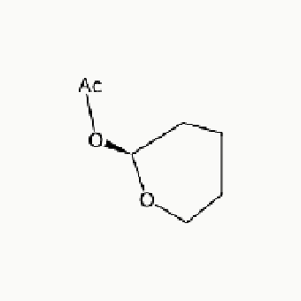 CC(=O)O[C@H]1CCCCO1